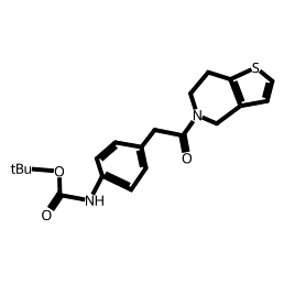 CC(C)(C)OC(=O)Nc1ccc(CC(=O)N2CCc3sccc3C2)cc1